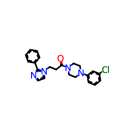 O=C(CCn1ccnc1-c1ccccc1)N1CCN(c2cccc(Cl)c2)CC1